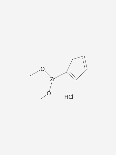 C[O][Zr]([O]C)[C]1=CC=CC1.Cl